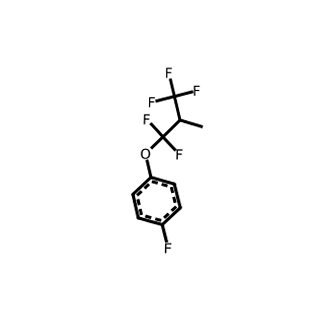 CC(C(F)(F)F)C(F)(F)Oc1ccc(F)cc1